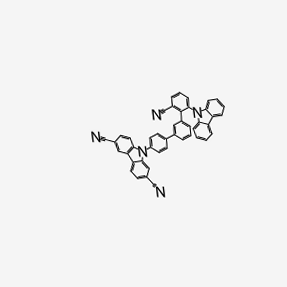 N#Cc1ccc2c(c1)c1ccc(C#N)cc1n2-c1ccc(-c2cccc(-c3c(C#N)cccc3-n3c4ccccc4c4ccccc43)c2)cc1